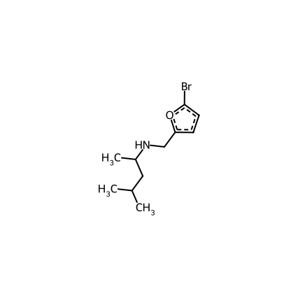 CC(C)CC(C)NCc1ccc(Br)o1